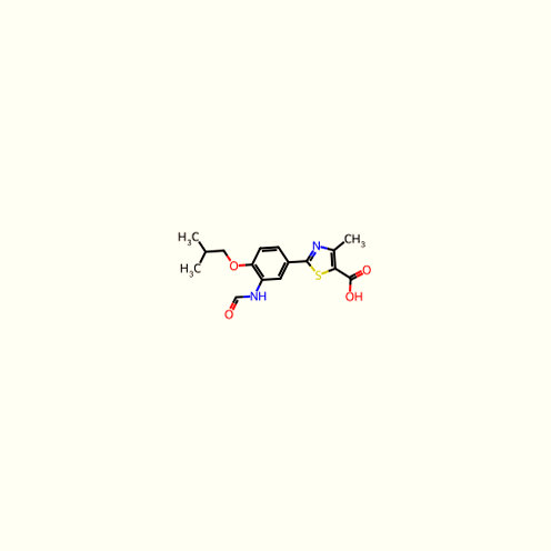 Cc1nc(-c2ccc(OCC(C)C)c(NC=O)c2)sc1C(=O)O